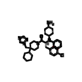 N[C@H]1CC[C@@H](N(c2ccccc2)[C@H](Cc2ccc(Cl)cc2)C(=O)N2CCC(Cn3cncn3)(C3CCCCC3)CC2)CC1